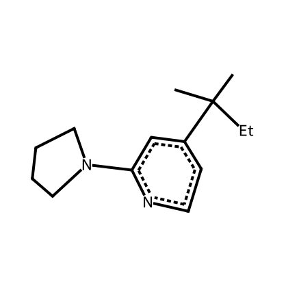 CCC(C)(C)c1ccnc(N2CCCC2)c1